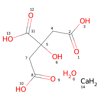 O.O=C(O)CC(O)(CC(=O)O)C(=O)O.[CaH2]